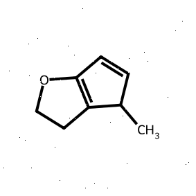 CC1C=CC2=C1CCO2